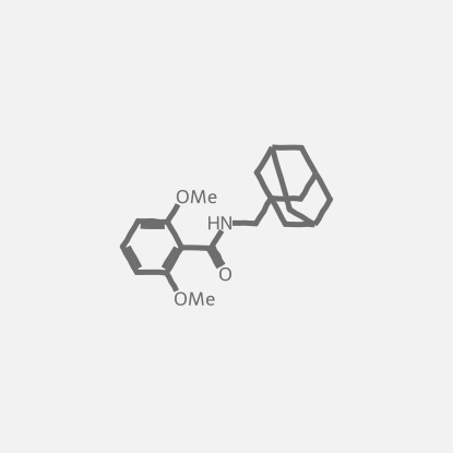 COc1cccc(OC)c1C(=O)NCC12CC3CC(CC(C3)C1)C2